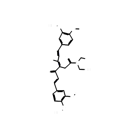 CCN(CC)C(=O)C/C(C(=O)/C=C/c1ccc(OC)c(OC)c1)=C(O)\C=C\c1ccc(OC)c(OC)c1